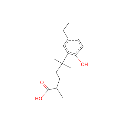 CCc1ccc(O)c(C(C)(C)CCC(C)C(=O)O)c1